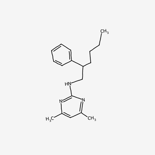 CCCCC(CNc1nc(C)cc(C)n1)c1ccccc1